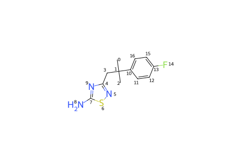 CC(C)(Cc1nsc(N)n1)c1ccc(F)cc1